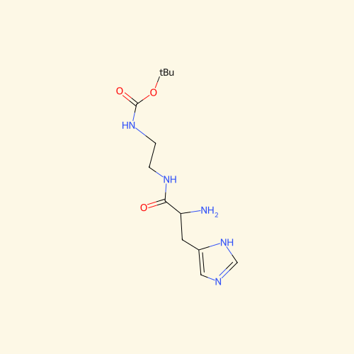 CC(C)(C)OC(=O)NCCNC(=O)C(N)Cc1cnc[nH]1